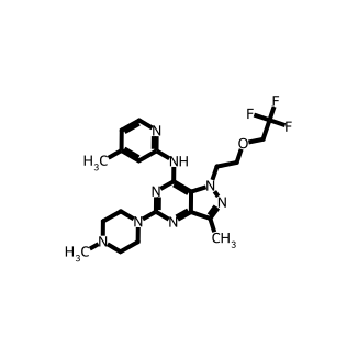 Cc1ccnc(Nc2nc(N3CCN(C)CC3)nc3c(C)nn(CCOCC(F)(F)F)c23)c1